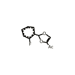 CC(=O)C1=COC(c2ccccc2F)O1